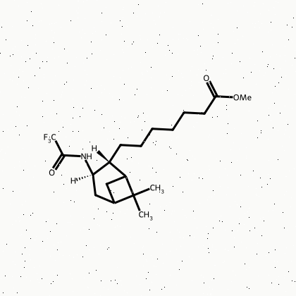 COC(=O)CCCCCC[C@@H]1C2CC(C[C@H]1NC(=O)C(F)(F)F)C2(C)C